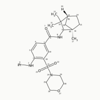 CC(C)Nc1ccc(C(=O)NC2C(C)(C)[C@@H]3CC[C@]2(C)C3)cc1S(=O)(=O)N1CCOCC1